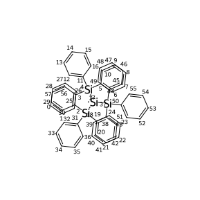 c1ccc([Si](c2ccccc2)(c2ccccc2)[Si]([Si](c2ccccc2)(c2ccccc2)c2ccccc2)[Si](c2ccccc2)(c2ccccc2)c2ccccc2)cc1